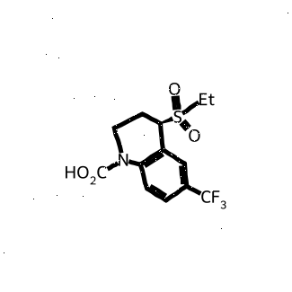 CCS(=O)(=O)[C@@H]1CCN(C(=O)O)c2ccc(C(F)(F)F)cc21